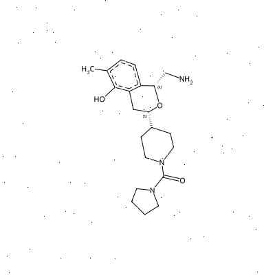 Cc1ccc2c(c1O)C[C@@H](C1CCN(C(=O)N3CCCC3)CC1)O[C@H]2CN